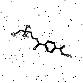 CCC(C)(C)CCOC(=O)c1ccc(C(=O)OC)cc1